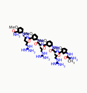 COc1ccc(NC[C@@H](CCCNC(=N)N)NC(=O)c2cc(NC(=O)[C@@H](CCCNC(=N)N)NC(=O)c3cc(NC(=O)[C@@H](CCCNC(=N)N)NC(=O)c4cc(NC(=O)[C@@H](C)N)ccc4OC)ccc3OC)ccc2OC)cc1C(N)=O